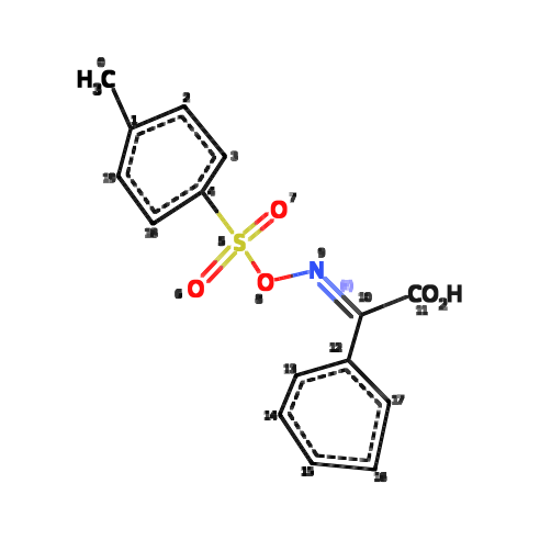 Cc1ccc(S(=O)(=O)O/N=C(/C(=O)O)c2ccccc2)cc1